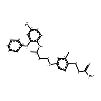 COC(=O)CCc1ccc(SCCC(C)Oc2ccc(C(C)C)cc2Oc2ccccc2)cc1C